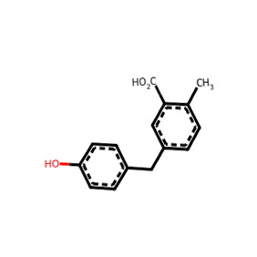 Cc1ccc(Cc2ccc(O)cc2)cc1C(=O)O